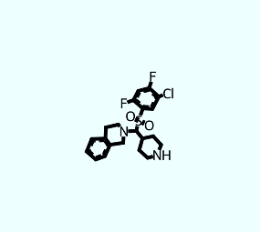 O=S(=O)(c1cc(Cl)c(F)cc1F)C(C1CCNCC1)N1CCc2ccccc2C1